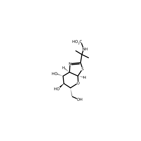 CC(C)(NC(=O)O)C1=N[C@@H]2[C@@H](O)[C@H](O)[C@@H](CO)O[C@@H]2S1